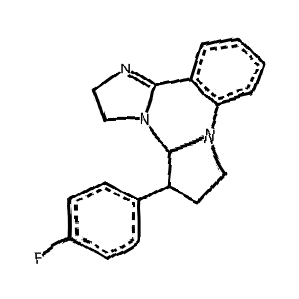 Fc1ccc(C2CCN3c4ccccc4C4=NCCN4C23)cc1